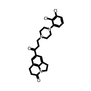 O=C(CCN1CCN(c2cccc(Cl)c2Cl)CC1)c1cc2c3c(c1)CCN3C(=O)CC2